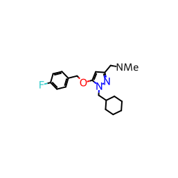 CNCc1cc(OCc2ccc(F)cc2)n(CC2CCCCC2)n1